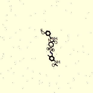 CC(=O)Nc1ccc(C)c(/C=C/S(=O)(=O)N2CCC3(CC2)N=C(c2cccc(OF)c2)NC3=O)c1